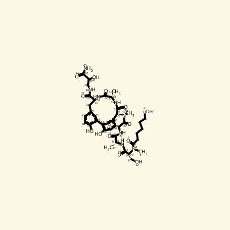 CCCCCCCCCCCCCCCC(=O)N(C)[C@H](CO)C(=O)N[C@H](C)C(=O)NCC(=O)N(C)[C@@H]1C(=O)N[C@@H](C)C(=O)NC(C(=O)NCC(O)C(N)=O)Cc2ccc(O)c(c2)-c2cc1ccc2O